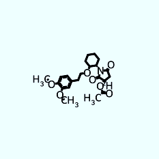 [2H]C1(OC(C)=O)CC(=O)N([C@@H]2CCCCC2OCCc2ccc(OC)c(OC)c2)C1=O